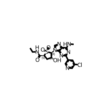 CCNC(=O)[C@@H]1C[C@@H](O)[C@H](n2cnc3c(NC)nc(-c4cncc(Cl)c4)nc32)S1(=O)=O